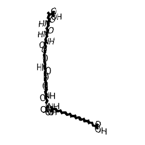 CC(CC(=O)NCCC(=O)NCCNC(=O)COCCOCCNC(=O)COCCOCCNC(=O)CC[C@H](NC(=O)CCCCCCCCCCCCCCCCCCC(=O)O)C(=O)O)C(=O)O